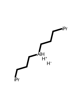 CC(C)CC[CH2][AlH][CH2]CCC(C)C.[H+].[H-]